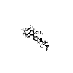 CCN(C)c1c(F)c(C)c(-c2ccc3nc(NC(=O)C4CC4F)cn3c2)c2cn[nH]c12